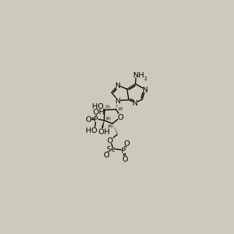 Nc1ncnc2c1ncn2[C@@H]1O[C@H](CO[Se](=O)P(=O)=O)[C@](O)(P(=O)(O)O)[C@H]1O